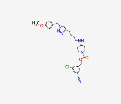 COc1ccc(Cn2cc(CCCCNC3CCN(C(=O)OCc4cc(Cl)cc(C#N)c4)CC3)nn2)cc1